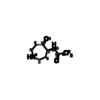 O=C1CCNCC[C@@H]1NC(=O)C(F)(F)F